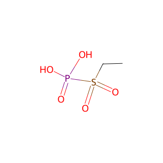 CCS(=O)(=O)P(=O)(O)O